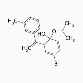 C=C(c1cccc(C)c1)C1C=C(Br)C=CC1(O)OC(C)C